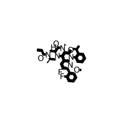 C=CC(=O)N1C[C@@H]2C(=O)N(C)c3c(c4cc(F)c(-c5c(F)cccc5OC)nc4n(-c4ccccc4C(C)C)c3=O)N2C[C@H]1C